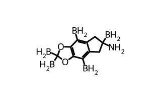 Bc1c2c(c(B)c3c1OC(B)(B)O3)CC(B)(N)C2